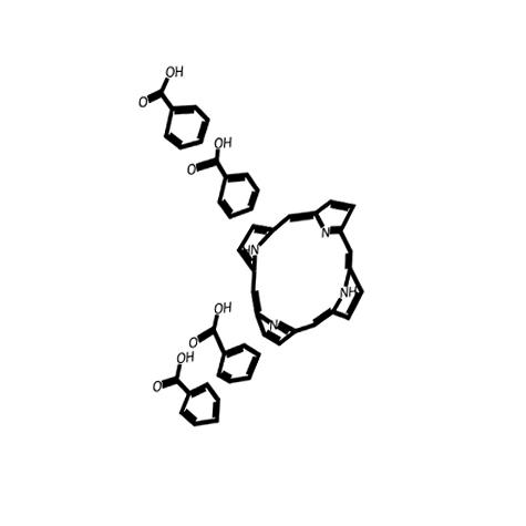 C1=Cc2cc3ccc(cc4nc(cc5ccc(cc1n2)[nH]5)C=C4)[nH]3.O=C(O)c1ccccc1.O=C(O)c1ccccc1.O=C(O)c1ccccc1.O=C(O)c1ccccc1